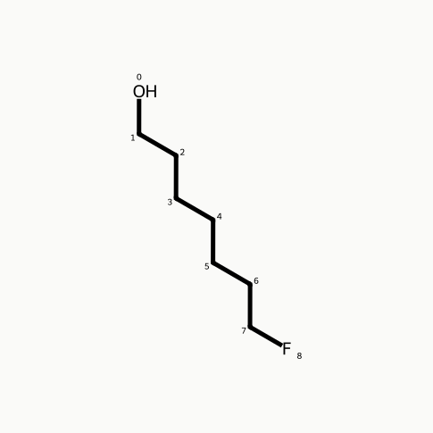 OCCCCCCCF